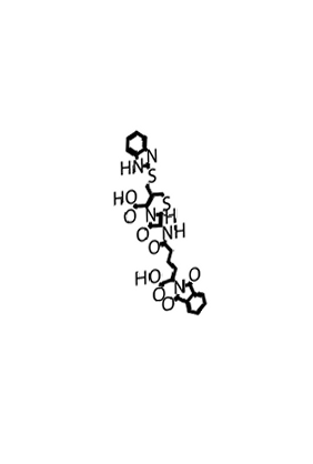 O=C(CCCC(C(=O)O)N1C(=O)c2ccccc2C1=O)N[C@@H]1C(=O)N2C(C(=O)O)=C(CSc3nc4ccccc4[nH]3)CS[C@@H]12